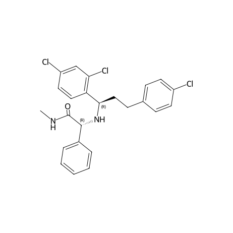 CNC(=O)[C@H](N[C@H](CCc1ccc(Cl)cc1)c1ccc(Cl)cc1Cl)c1ccccc1